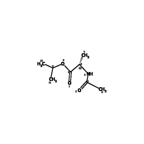 CC(=O)N[C@@H](C)C(=O)OC(C)C